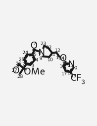 COC1(c2ccc(C(=O)N3CCC(CCOc4ccc(C(F)(F)F)cn4)CC3)cc2)COC1